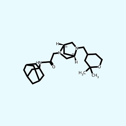 CC1(C)CC(CN2C[C@@H]3C[C@H]2CN3CC(=O)NC23CC4CC(CC(C4)C2)C3)CCO1